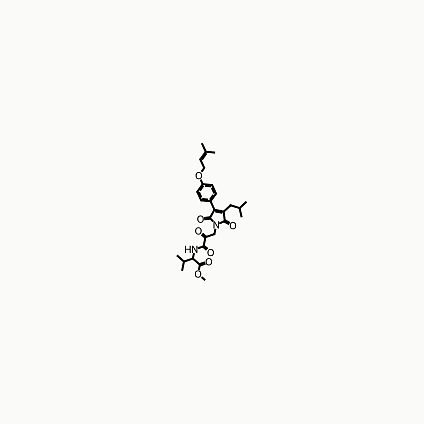 COC(=O)C(NC(=O)C(=O)CN1C(=O)C(CC(C)C)=C(c2ccc(OCC=C(C)C)cc2)C1=O)C(C)C